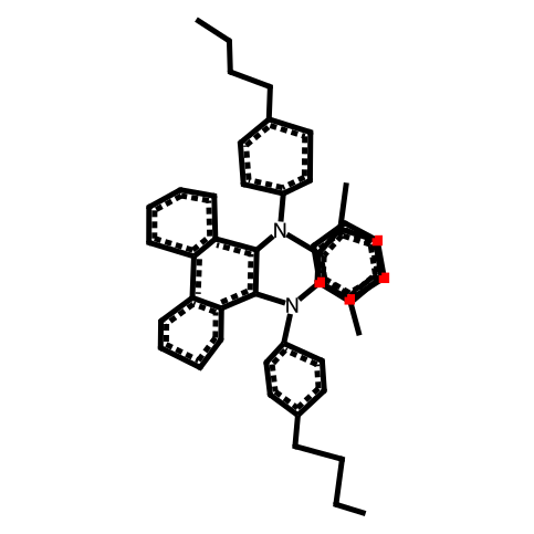 CCCCc1ccc(N(c2ccccc2C)c2c(N(c3ccc(CCCC)cc3)c3ccccc3C)c3ccccc3c3ccccc23)cc1